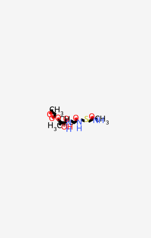 CNC(=O)CSCCNC(=O)CCNC(=O)[C@@H](O)C(C)(C)COC(=O)CC(C)=O